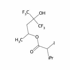 CC(CC(O)(C(F)(F)F)C(F)(F)F)OC(=O)C(I)C(C)C